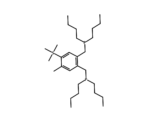 CCCCP(CCCC)Cc1cc(C)c(S(C)(C)C)cc1CP(CCCC)CCCC